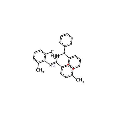 Cc1ccc(/C(=N/c2c(C)cccc2C)NP(c2ccccc2)c2ccccc2)cc1